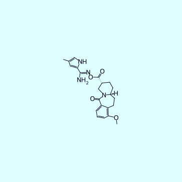 COc1cccc2c1CC[C@H]1CC[C@@H](C(=O)ON=C(N)c3cc(C)c[nH]3)CN1C2=O